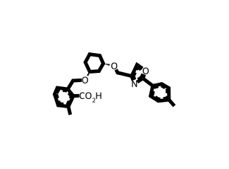 Cc1ccc(-c2nc(CO[C@H]3CCC[C@@H](OCc4cccc(C)c4C(=O)O)C3)co2)cc1